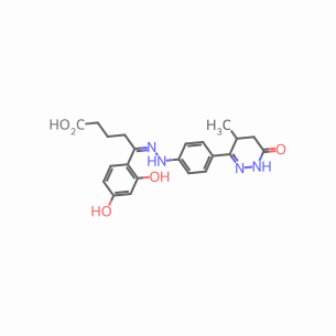 CC1CC(=O)NN=C1c1ccc(N/N=C(/CCCC(=O)O)c2ccc(O)cc2O)cc1